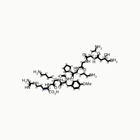 COc1ccc(C[C@H](NC(=O)[C@@H]2CCCN2C(=O)[C@@H](CCCN)NC(=O)CNC(=O)[C@H](CCN)NC(=O)C[C@@H](O)CN)C(=O)N[C@@H](CCCCN)C(=O)N/C(=C\CCNC(=N)N)C(=O)O)cc1